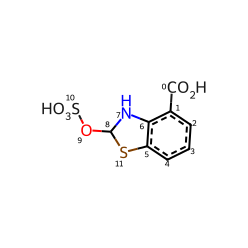 O=C(O)c1cccc2c1NC(OS(=O)(=O)O)S2